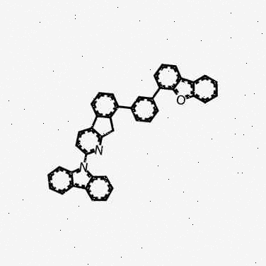 c1cc(-c2cccc3c2Cc2nc(-n4c5ccccc5c5ccccc54)ccc2-3)cc(-c2cccc3c2oc2ccccc23)c1